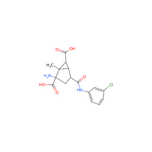 CC12C(C(=O)O)C1C(C(=O)Nc1cccc(Cl)c1)CC2(N)C(=O)O